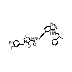 CC(CNc1ncnc2ccc(C#CCNC(=O)c3cncn(Cc4ccc(F)c(F)c4)c3=O)cc12)c1ccccc1